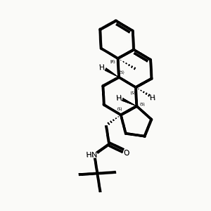 CC(C)(C)NC(=O)C[C@@]12CCC[C@H]1[C@@H]1CC=C3C=CCC[C@]3(C)[C@H]1CC2